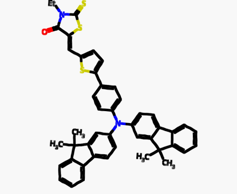 CCN1C(=O)/C(=C/c2ccc(-c3ccc(N(c4ccc5c(c4)C(C)(C)c4ccccc4-5)c4ccc5c(c4)C(C)(C)c4ccccc4-5)cc3)s2)SC1=S